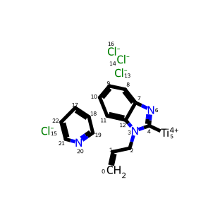 C=CCn1[c]([Ti+4])nc2ccccc21.[Cl-].[Cl-].[Cl-].[Cl-].c1ccncc1